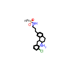 CCCS(=O)(=O)NCCCc1ccc2c(c1)C(Cc1cccc(Cl)c1)C(N)CC2